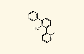 Cc1ccccc1-c1cccc(-c2ccccc2)c1O